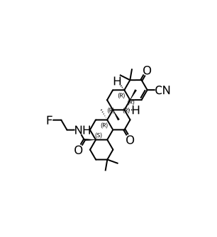 CC1(C)CC[C@]2(C(=O)NCCF)CC[C@]3(C)C(C(=O)C[C@@H]4[C@@]5(C)C=C(C#N)C(=O)C(C)(C)[C@@H]5CC[C@]43C)C2C1